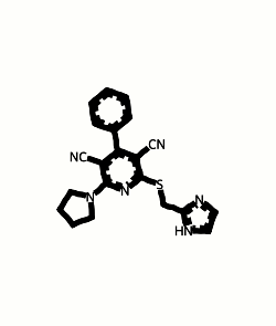 N#Cc1c(SCc2ncc[nH]2)nc(N2CCCC2)c(C#N)c1-c1ccccc1